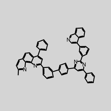 Cc1ccc2ccc3c(-c4ccccc4)cc(-c4cccc(-c5ccc(-c6cc(-c7ccccc7)nc(-c7cccc(-c8cncc9ccccc89)c7)n6)cc5)c4)nc3c2n1